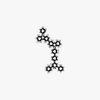 c1ccc(-c2cc(-c3ccc(-c4ccc(-n5c6ccccc6c6cc(-c7ccc8c(c7)c7ccccc7n8-c7ccccc7)ccc65)cc4)cc3)cc(-c3ccccc3)n2)cc1